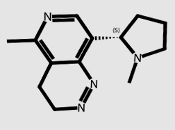 Cc1ncc([C@@H]2CCCN2C)c2c1CCN=N2